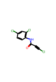 O=C(C#CCl)Nc1ccc(Cl)cc1Cl